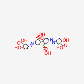 O=C(O)c1cc(N=Nc2ccc(-c3ccc(N=Nc4ccc(O)c(C(=O)O)c4)cc3S(=O)(=O)O)c(SOOO)c2)ccc1O